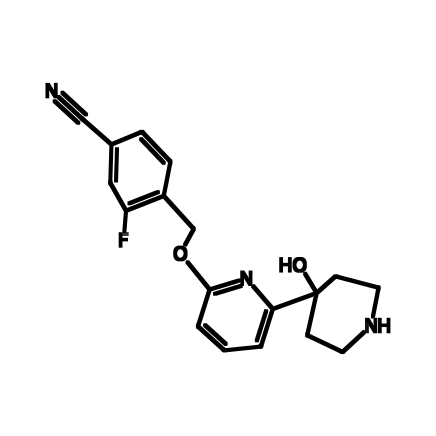 N#Cc1ccc(COc2cccc(C3(O)CCNCC3)n2)c(F)c1